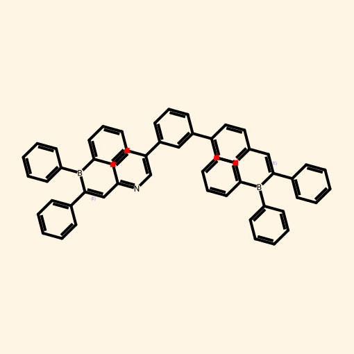 C(=C(/B(c1ccccc1)c1ccccc1)c1ccccc1)/c1ccc(-c2cccc(-c3ccc(/C=C(\B(c4ccccc4)c4ccccc4)c4ccccc4)nc3)c2)cn1